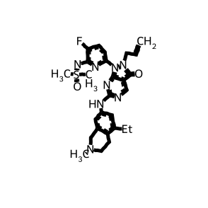 C=CCn1c(=O)c2cnc(Nc3cc(CC)c4c(c3)CN(C)CC4)nc2n1-c1ccc(F)c(N=S(C)(C)=O)n1